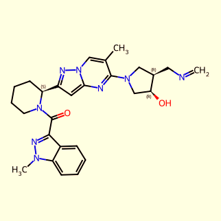 C=NC[C@@H]1CN(c2nc3cc([C@@H]4CCCCN4C(=O)c4nn(C)c5ccccc45)nn3cc2C)C[C@@H]1O